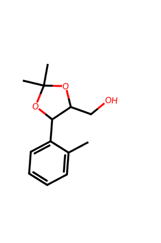 Cc1ccccc1C1OC(C)(C)OC1CO